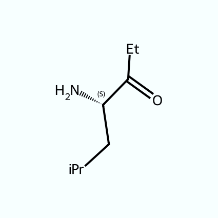 CCC(=O)[C@@H](N)CC(C)C